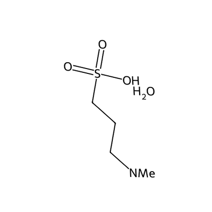 CNCCCS(=O)(=O)O.O